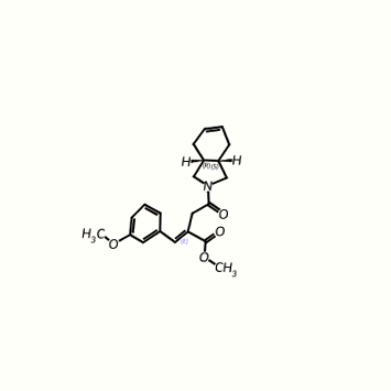 COC(=O)/C(=C/c1cccc(OC)c1)CC(=O)N1C[C@H]2CC=CC[C@H]2C1